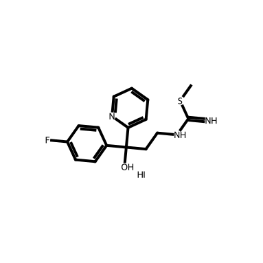 CSC(=N)NCCC(O)(c1ccc(F)cc1)c1ccccn1.I